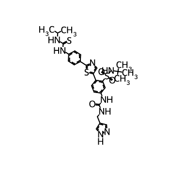 CC(C)NC(=S)Nc1ccc(-c2ncc(-c3ccc(NC(=O)NCc4cn[nH]c4)cc3S(=O)(=O)NC(C)(C)C)s2)cc1